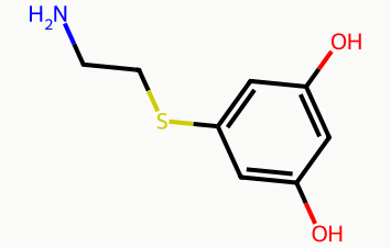 NCCSc1cc(O)cc(O)c1